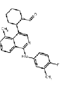 Cc1cc(Nc2ncc(C3CCCCN3C=O)c3c(C)cccc23)ccc1F